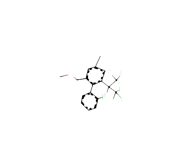 COCc1[c]c(C)cc(C(F)(C(F)(F)F)C(F)(F)F)c1-c1ccccc1F